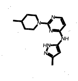 Cc1cc(Nc2ccnc(N3CCC(C)CC3)n2)[nH]n1